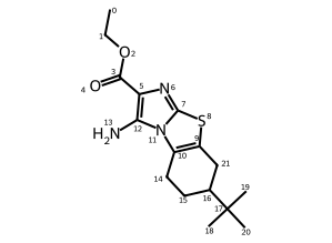 CCOC(=O)c1nc2sc3c(n2c1N)CCC(C(C)(C)C)C3